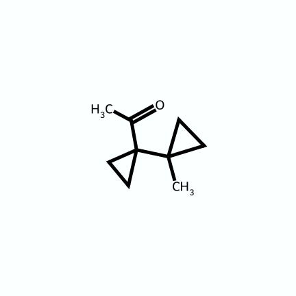 CC(=O)C1(C2(C)CC2)CC1